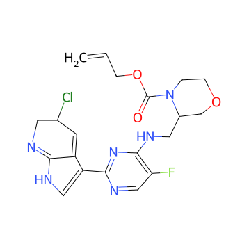 C=CCOC(=O)N1CCOCC1CNc1nc(-c2c[nH]c3c2=CC(Cl)CN=3)ncc1F